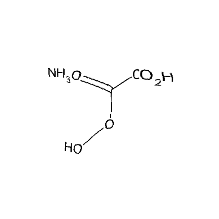 N.O=C(O)C(=O)OO